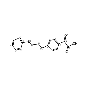 O=C(O)C(=O)c1ccc(OCCSc2ccccc2)cc1